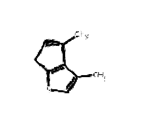 CC1=CCc2scc(C)c21